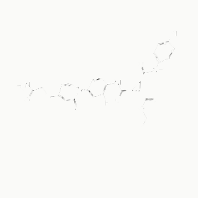 CCOC(=O)[C@H]1[C@@H](C(=O)Nc2ccc(Cl)cc2)[C@@H]1C(=O)Nc1ccc(-n2ccc(OCC(N)=O)cc2=O)cc1F